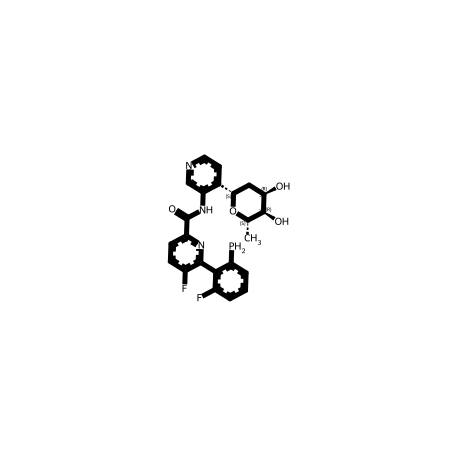 C[C@@H]1O[C@H](c2ccncc2NC(=O)c2ccc(F)c(-c3c(F)cccc3P)n2)C[C@@H](O)[C@H]1O